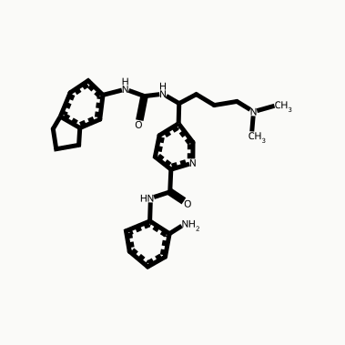 CN(C)CCCC(NC(=O)Nc1ccc2c(c1)CCC2)c1ccc(C(=O)Nc2ccccc2N)nc1